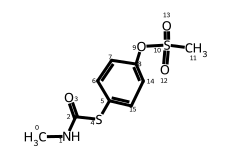 CNC(=O)Sc1ccc(OS(C)(=O)=O)cc1